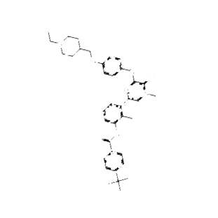 CCN1CCC(COc2ccc(Nc3nc(-c4cccc(NC(=O)c5ccc(C(C)(C)C)cc5)c4C)cn(C)c3=O)cc2)CC1